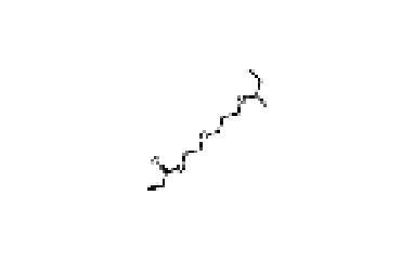 [CH2]CC(C)OCCCOCCOC(=O)C=C